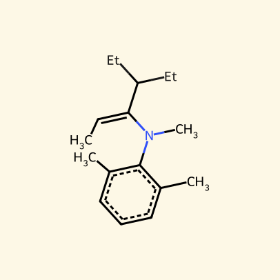 C/C=C(/C(CC)CC)N(C)c1c(C)cccc1C